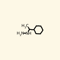 CC(NN)C1CCCCC1